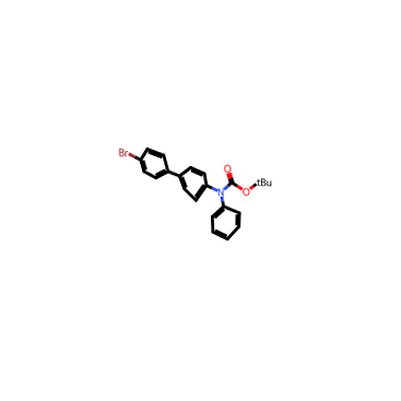 CC(C)(C)OC(=O)N(c1ccccc1)c1ccc(-c2ccc(Br)cc2)cc1